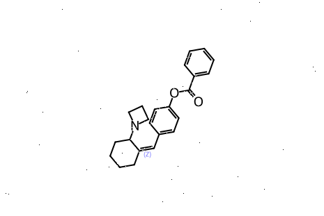 O=C(Oc1ccc(/C=C2/CCCCC2N2CCC2)cc1)c1ccccc1